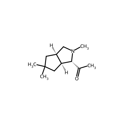 CC(=O)[C@@H]1[C@H]2CC(C)(C)C[C@H]2CN1C